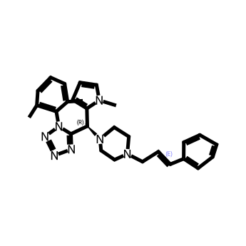 Cc1cccc(C)c1-n1nnnc1[C@@H](c1cccn1C)N1CCN(C/C=C/c2ccccc2)CC1